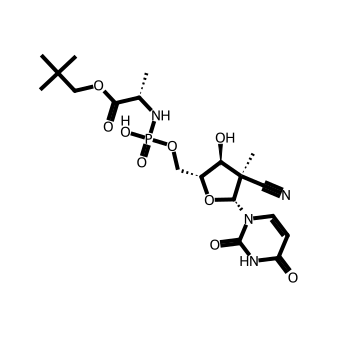 C[C@H](NP(=O)(O)OC[C@H]1O[C@@H](n2ccc(=O)[nH]c2=O)[C@](C)(C#N)[C@@H]1O)C(=O)OCC(C)(C)C